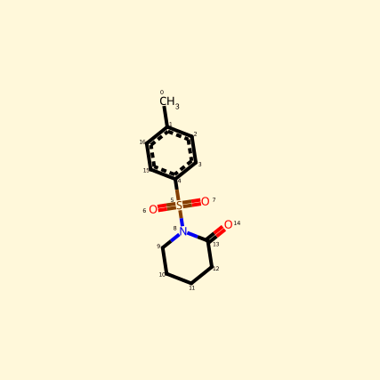 Cc1ccc(S(=O)(=O)N2CCCCC2=O)cc1